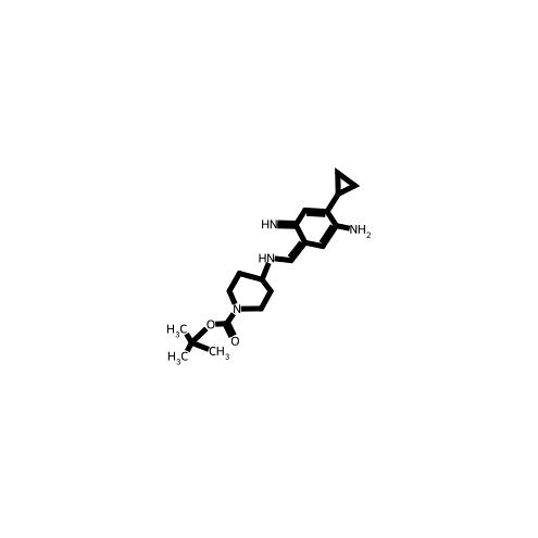 CC(C)(C)OC(=O)N1CCC(N/C=C2/C=C(N)C(C3CC3)=CC2=N)CC1